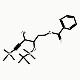 CC(C)(C)[Si](C)(C)OC(CCOC(=O)c1ccccc1)C(O)C#C[Si](C)(C)C